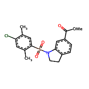 COC(=O)c1ccc2c(c1)N(S(=O)(=O)c1cc(C)c(Cl)cc1C)CC2